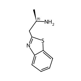 C[C@@H](N)Cc1nc2ccccc2s1